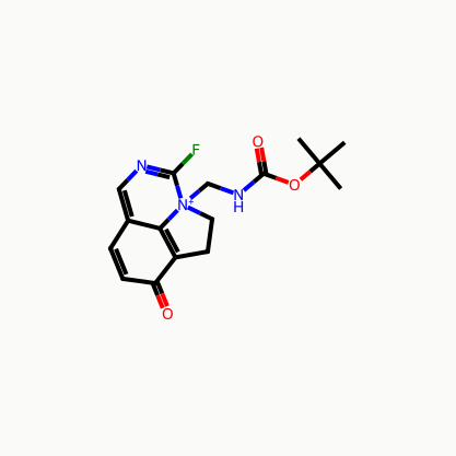 CC(C)(C)OC(=O)NC[N+]12CCC3=C1C(=CN=C2F)C=CC3=O